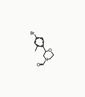 Cc1cc(Br)ccc1C1CN(C=O)CCO1